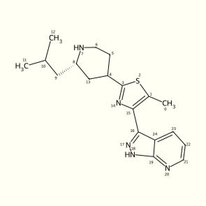 Cc1sc(C2CCN[C@@H](CC(C)C)C2)nc1-c1n[nH]c2ncccc12